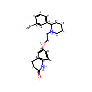 O=C1CCc2cc(OCCN3CCCCC3c3cccc(F)c3)ccc2N1